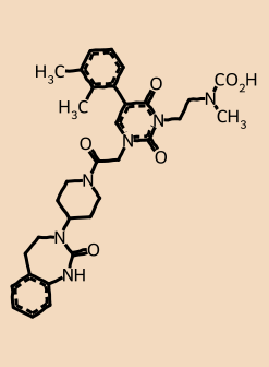 Cc1cccc(-c2cn(CC(=O)N3CCC(N4CCc5ccccc5NC4=O)CC3)c(=O)n(CCN(C)C(=O)O)c2=O)c1C